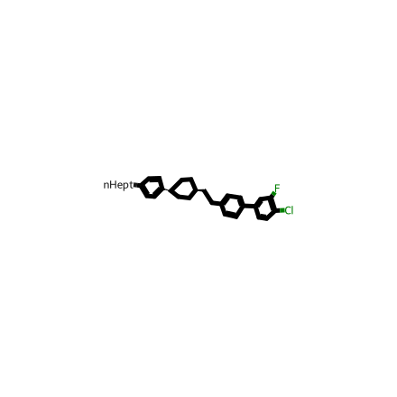 CCCCCCCc1ccc([C@H]2CC[C@H](CCc3ccc(-c4ccc(Cl)c(F)c4)cc3)CC2)cc1